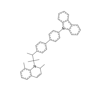 Cc1cccc2c1N(C(C)(C)C(C)c1ccc(-c3ccc(-n4c5ccccc5c5ccccc54)cc3)cc1)C(C)C=C2